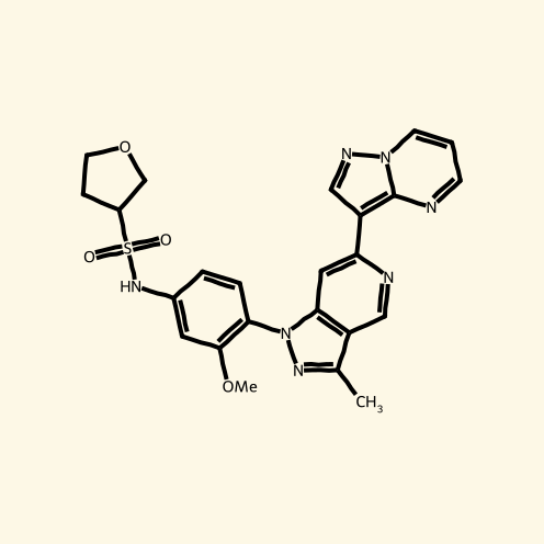 COc1cc(NS(=O)(=O)C2CCOC2)ccc1-n1nc(C)c2cnc(-c3cnn4cccnc34)cc21